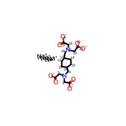 O=C([O-])CN(CC(=O)[O-])CC1CCC(CN(CC(=O)[O-])CC(=O)[O-])CC1.[Na+].[Na+].[Na+].[Na+]